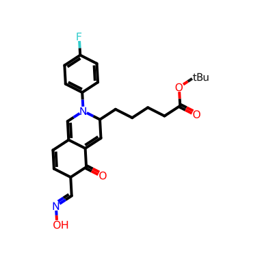 CC(C)(C)OC(=O)CCCCC1C=C2C(=O)C(C=NO)C=CC2=CN1c1ccc(F)cc1